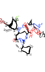 CONC1CC1.O=C(O)c1nn(-c2ccccc2)c(=O)cc1Nc1ccc(Br)cc1F